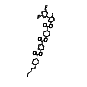 CCCCC[C@H]1CC[C@H](C(=O)Oc2ccc(C(=O)OC3CCC(C(=O)Oc4ccc(C)c(-c5cc(F)cc(F)c5)c4)CC3)cc2)CC1